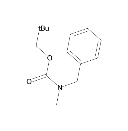 CN(Cc1ccccc1)C(=O)OCC(C)(C)C